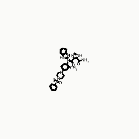 Cc1cc(N2CCN(S(=O)(=O)c3ccccc3)CC2)ccc1N(C(=O)c1nc[nH]c1C(N)=O)c1nc2ccccc2[nH]1